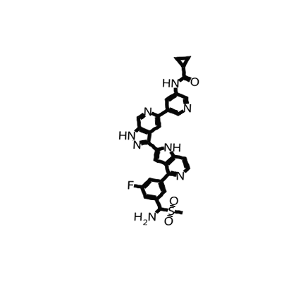 CS(=O)(=O)C(N)c1cc(F)cc(-c2nccc3[nH]c(-c4n[nH]c5cnc(-c6cncc(NC(=O)C7CC7)c6)cc45)cc23)c1